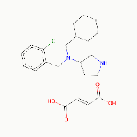 Clc1ccccc1CN(CC1CCCCC1)C1CCNC1.O=C(O)/C=C/C(=O)O